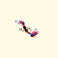 CC(C)(c1ccc(OCCCCNc2cccc3c2C(=O)N(C2CCC(=O)NC2=O)C3=O)cc1)c1ccc(OCc2ccnc(CS(N)(=O)=O)n2)cc1